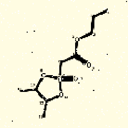 CCCOC(=O)CP1(=O)OC(C)C(C)O1